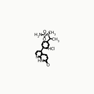 CC(c1ccc(-c2ccnc3[nH]c(=O)ccc23)cc1)N(C)S(N)(=O)=O.Cl